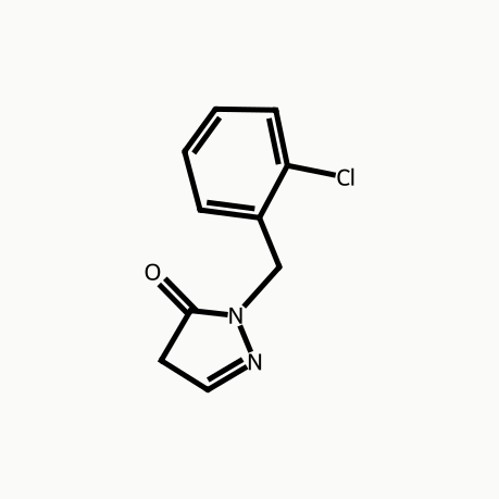 O=C1CC=NN1Cc1ccccc1Cl